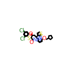 O=C1CC(c2ccsc2)(c2cccc(OCC3CCCC3)n2)NC(=O)C1Sc1ccc(Cl)cc1Cl